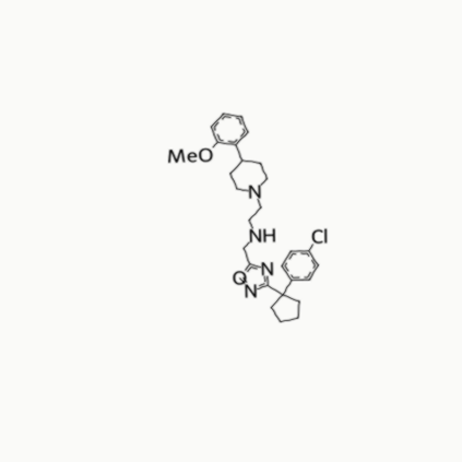 COc1ccccc1C1CCN(CCNCc2nc(C3(c4ccc(Cl)cc4)CCCC3)no2)CC1